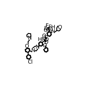 O=C(NS(=O)(=O)c1ccc(NCC2CCOCC2)c(S(=O)(=O)C(F)(F)F)c1)c1ccc(N2CCN(Cc3cc(OCCCN4CCCCC4)ccc3-c3ccc(Cl)cc3)CC2)cc1Oc1ccccc1